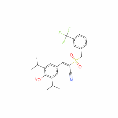 CC(C)c1cc(/C=C(\C#N)S(=O)(=O)Cc2cccc(C(F)(F)F)c2)cc(C(C)C)c1O